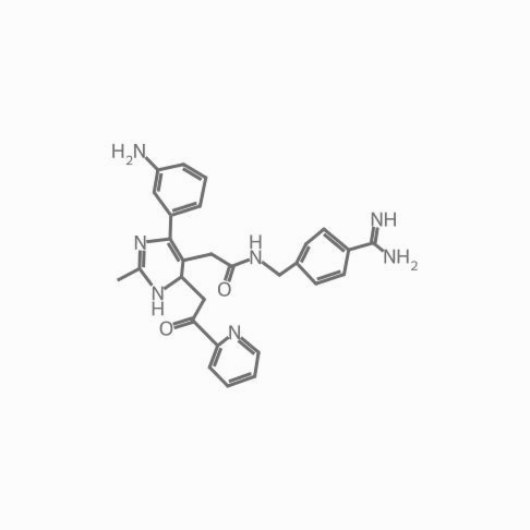 CC1=NC(c2cccc(N)c2)=C(CC(=O)NCc2ccc(C(=N)N)cc2)C(CC(=O)c2ccccn2)N1